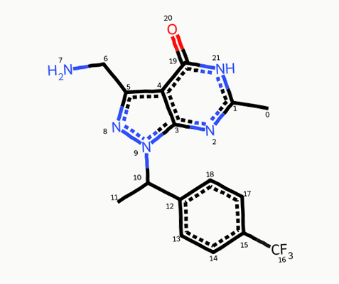 Cc1nc2c(c(CN)nn2C(C)c2ccc(C(F)(F)F)cc2)c(=O)[nH]1